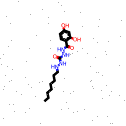 CCCCCCCCNNC(=O)NNC(=O)c1ccc(O)cc1O